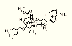 CCC(CC)COC(=O)[C@H](C)N[P@@](=O)(N[C@@H](C)C(=O)OC)OC[C@@]1(C)O[C@@H](c2ccc3c(N)ncnn23)[C@H](O)[C@@H]1O